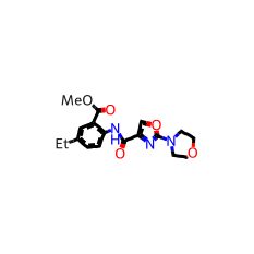 CCc1ccc(NC(=O)c2coc(N3CCOCC3)n2)c(C(=O)OC)c1